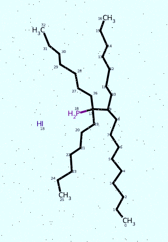 CCCCCCCCCC(CCCCCCC)C(P)(CCCCCCC)CCCCCCC.I